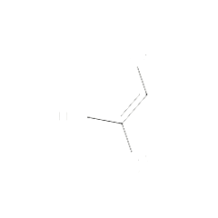 CC(=O)OC=C([SiH3])OC(C)=O